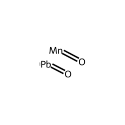 [O]=[Mn].[O]=[Pb]